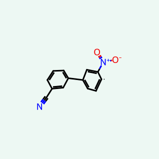 N#Cc1cccc(-c2cc[c]c([N+](=O)[O-])c2)c1